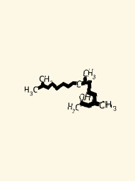 CC(=CC(C)O)CCCC(C)CCCCCCCC(C)C